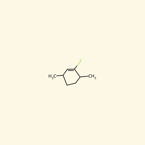 CC1C=C(F)C(C)CC1